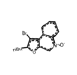 CCCCc1oc2c[n+]([O-])c3ccccc3c2c1Br